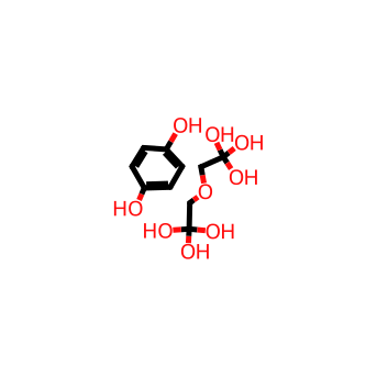 OC(O)(O)COCC(O)(O)O.Oc1ccc(O)cc1